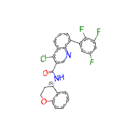 O=C(N[C@H]1CCOc2ccccc21)c1cnc2c(-c3cc(F)cc(F)c3F)cccc2c1Cl